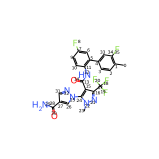 Cc1ccc(-c2cc(F)ccc2NC(=O)c2c(C(F)(F)F)nn(C)c2-n2cc(C(N)=O)cn2)cc1F